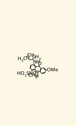 COc1ccc2[nH]c3c([N+](=O)[O-])ccc(NC(C)CN(C)C)c3c(=O)c2c1.CS(=O)(=O)O